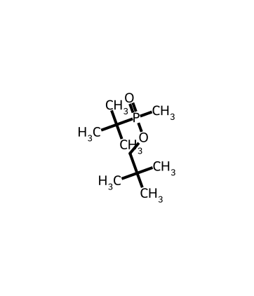 CC(C)(C)COP(C)(=O)C(C)(C)C